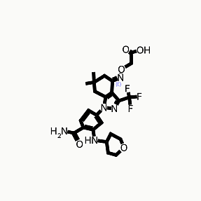 CC1(C)C/C(=N\OCC(=O)O)c2c(C(F)(F)F)nn(-c3ccc(C(N)=O)c(NC4CCOCC4)c3)c2C1